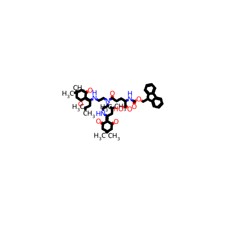 CC(C)CC(NCCN(CCNC(CC(C)C)=C1C(=O)CC(C)(C)CC1=O)C(=O)CCC(NC(=O)OCC1c2ccccc2-c2ccccc21)C(=O)O)=C1C(=O)CC(C)(C)CC1=O